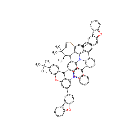 C[C@@H]1B2c3cc4c(cc3N(c3c(-c5ccccc5)cccc3-c3ccccc3)c3cc(-c5ccc6oc7ccccc7c6c5)cc(c32)S/C=C/C1(C)C)N(c1ccccc1)c1cc(-c2ccc3oc5ccccc5c3c2)cc2c1B4c1ccc(C(C)(C)C)cc1O2